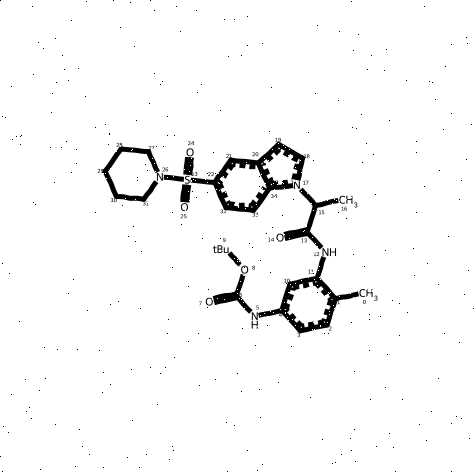 Cc1ccc(NC(=O)OC(C)(C)C)cc1NC(=O)C(C)n1ccc2cc(S(=O)(=O)N3CCCCC3)ccc21